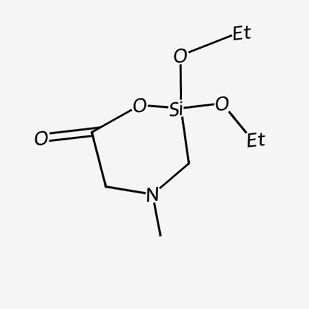 CCO[Si]1(OCC)CN(C)CC(=O)O1